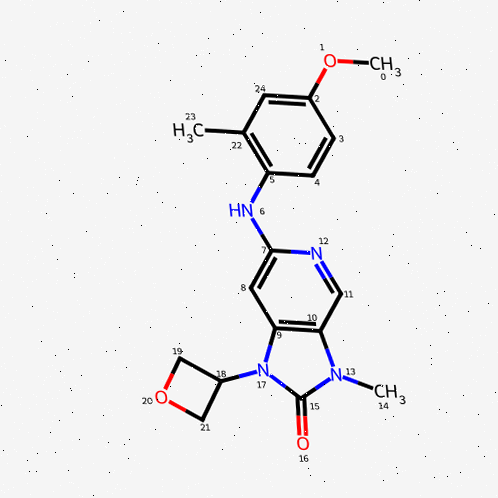 COc1ccc(Nc2cc3c(cn2)n(C)c(=O)n3C2COC2)c(C)c1